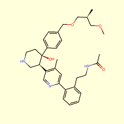 COC[C@H](C)COCc1ccc([C@@]2(O)CCNC[C@@H]2c2cnc(-c3ccccc3CCNC(C)=O)cc2C)cc1